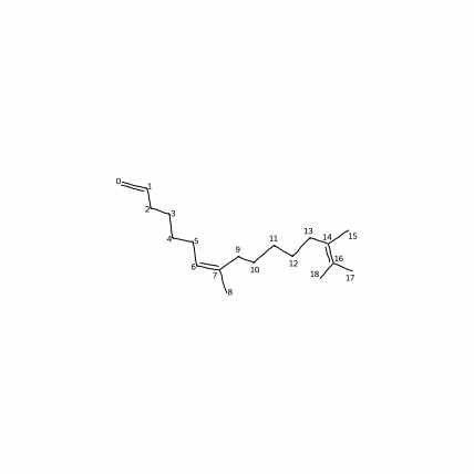 C=CCCCCC=C(C)CCCCCC(C)=C(C)C